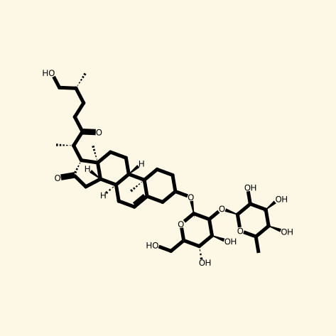 CC1O[C@@H](OC2[C@H](OC3CC[C@@]4(C)C(=CC[C@H]5[C@@H]6CC(=O)[C@H]([C@H](C)C(=O)CC[C@@H](C)CO)[C@@]6(C)CC[C@@H]54)C3)OC(CO)[C@@H](O)[C@@H]2O)C(O)[C@@H](O)[C@H]1O